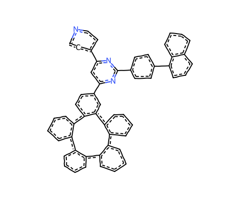 c1ccc2c(-c3ccc(-c4nc(-c5ccncc5)cc(-c5ccc6c7ccccc7c7ccccc7c7ccccc7c7ccccc7c6c5)n4)cc3)cccc2c1